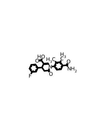 Cc1c(C(N)=O)ccc(N2C=C(C(=O)O)C(c3cccc(F)c3)CC2=O)c1C